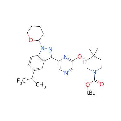 CC(c1ccc2c(c1)c(-c1cncc(O[C@H]3CN(C(=O)OC(C)(C)C)CCC34CC4)n1)nn2C1CCCCO1)C(F)(F)F